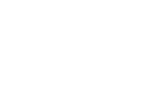 Brc1ccccc1-c1ccnn1C1CCCCO1